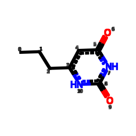 CCCc1cc(=O)[nH]c(=O)[nH]1